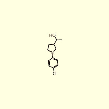 CC(O)C1CCN(c2[c]cc(Cl)cc2)C1